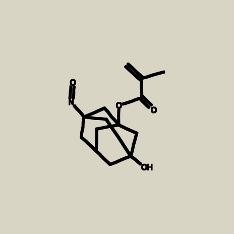 C=C(C)C(=O)OC12CC3CC(O)(CC(N=O)(C3)C1)C2